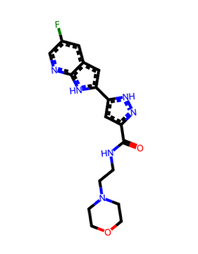 O=C(NCCN1CCOCC1)c1cc(-c2cc3cc(F)cnc3[nH]2)[nH]n1